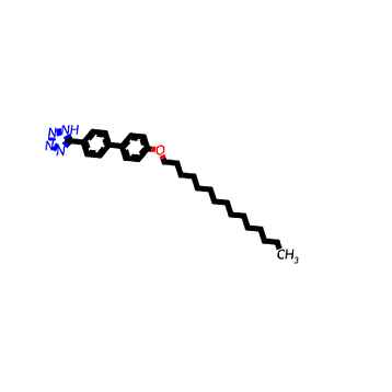 CCCCCCCCCCCCCCCOc1ccc(-c2ccc(-c3nnn[nH]3)cc2)cc1